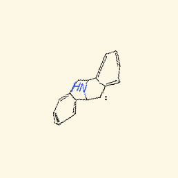 [C]1c2ccccc2C2Cc3ccccc3C1N2